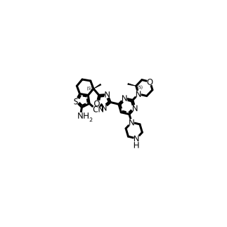 C[C@H]1COCCN1c1nc(-c2noc([C@@]3(C)CCCc4sc(N)c(C#N)c43)n2)cc(N2CCNCC2)n1